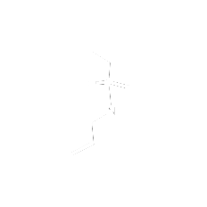 [CH2]CS(=O)(=O)NCC=C